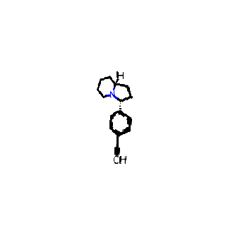 C#Cc1ccc([C@H]2CC[C@H]3CCCCN32)cc1